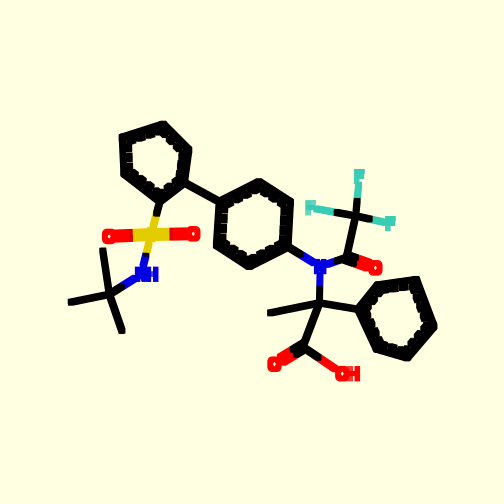 CC(C)(C)NS(=O)(=O)c1ccccc1-c1ccc(N(C(=O)C(F)(F)F)C(C)(C(=O)O)c2ccccc2)cc1